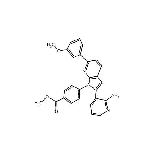 COC(=O)c1ccc(-n2c(-c3cccnc3N)nc3ccc(-c4cccc(OC)c4)nc32)cc1